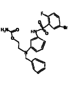 NC(=O)OCCN(Cc1ccccc1)c1cccc(NS(=O)(=O)c2cc(Br)ccc2F)c1